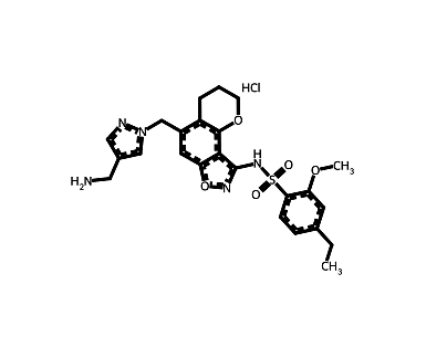 CCc1ccc(S(=O)(=O)Nc2noc3cc(Cn4cc(CN)cn4)c4c(c23)OCCC4)c(OC)c1.Cl